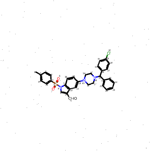 Cc1ccc(S(=O)(=O)n2cc(C=O)c3cc(N4CCN(C(c5ccccc5)c5ccc(Cl)cc5)CC4)ccc32)cc1